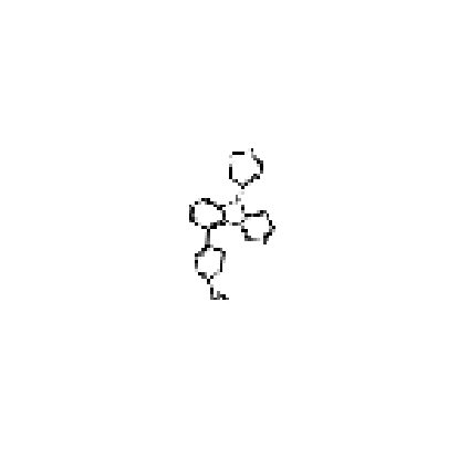 NC1=CC=C(c2cccc3c2c2ccccc2n3C2=CC=CCC2)CC1